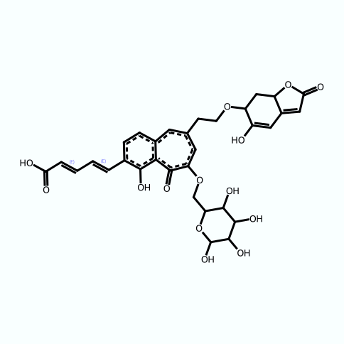 O=C(O)/C=C/C=C/c1ccc2cc(CCOC3CC4OC(=O)C=C4C=C3O)cc(OCC3OC(O)C(O)C(O)C3O)c(=O)c2c1O